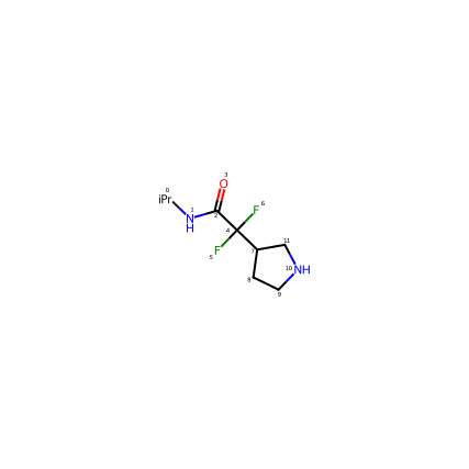 CC(C)NC(=O)C(F)(F)C1CCNC1